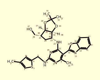 Cc1csc(CNc2nc(C)c(-c3nc4ccccc4s3)c(N[C@@H]3C[C@H](CO)[C@H]4OC(C)(C)O[C@H]43)n2)c1